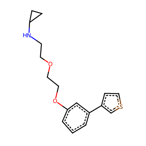 c1cc(OCCOCCNC2CC2)cc(-c2ccsc2)c1